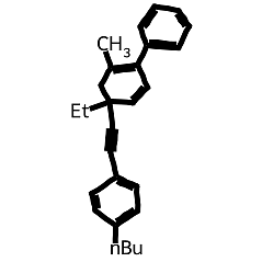 CCCCc1ccc(C#CC2(CC)C=CC(c3ccccc3)=C(C)C2)cc1